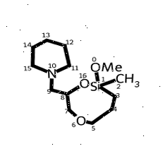 CO[Si]1(C)CCCOCC(CN2CCCCC2)O1